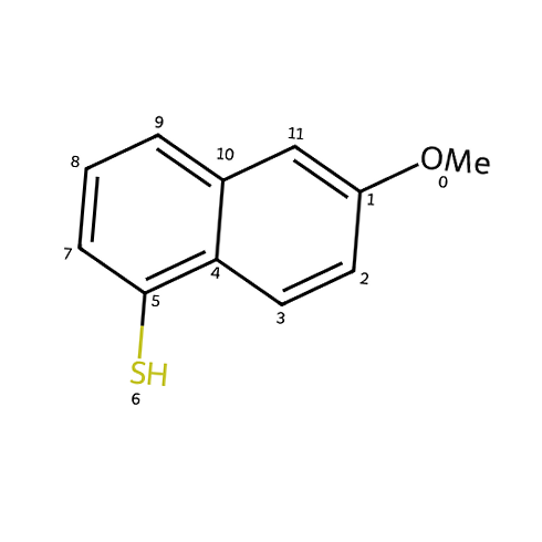 COc1ccc2c(S)cccc2c1